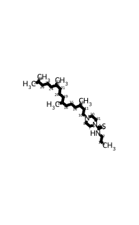 CCCNC(=S)N1CCN(CCC(C)CCCC(C)CCCC(C)CCCC(C)C)CC1